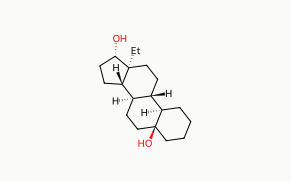 CC[C@]12CC[C@H]3[C@@H](CC[C@@]4(O)CCCC[C@H]34)[C@@H]1CC[C@@H]2O